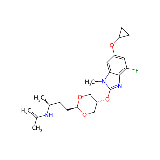 C=C(C)N[C@@H](C)CC[C@H]1OC[C@H](Oc2nc3c(F)cc(OC4CC4)cc3n2C)CO1